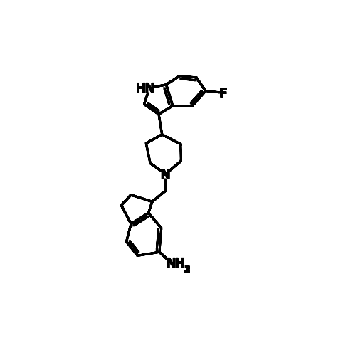 Nc1ccc2c(c1)C(CN1CCC(c3c[nH]c4ccc(F)cc34)CC1)CC2